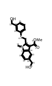 COC(=O)c1c(CSc2cccc(CO)c2)n(C)c2ccc(CO)cc12